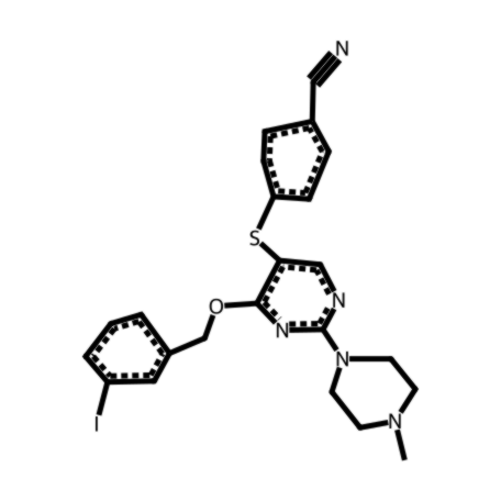 CN1CCN(c2ncc(Sc3ccc(C#N)cc3)c(OCc3cccc(I)c3)n2)CC1